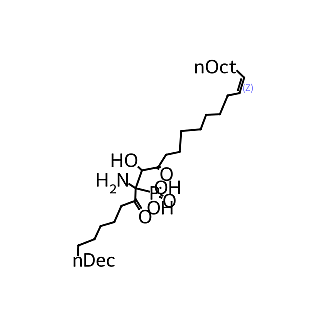 CCCCCCCC/C=C\CCCCCCCC(=O)C(O)C(N)(C(=O)CCCCCCCCCCCCCCC)P(=O)(O)O